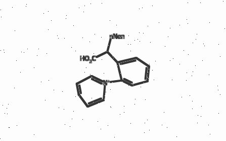 CCCCCCCCCC(C(=O)O)c1ccccc1-[n+]1ccccc1